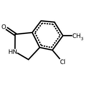 Cc1ccc2c(c1Cl)CNC2=O